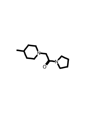 CC1CCN(CC(=O)N2CCCC2)CC1